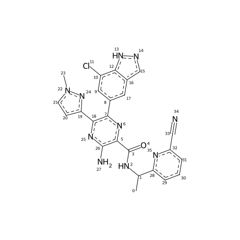 CC(NC(=O)c1nc(-c2cc(Cl)c3[nH]ncc3c2)c(-c2ccn(C)n2)nc1N)c1cccc(C#N)n1